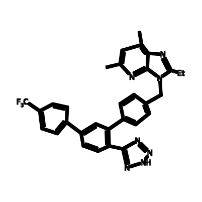 CCc1nc2c(C)cc(C)nc2n1Cc1ccc(-c2cc(-c3ccc(C(F)(F)F)cc3)ccc2-c2nn[nH]n2)cc1